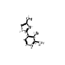 Oc1csc(-c2ccnc(O)c2Br)n1